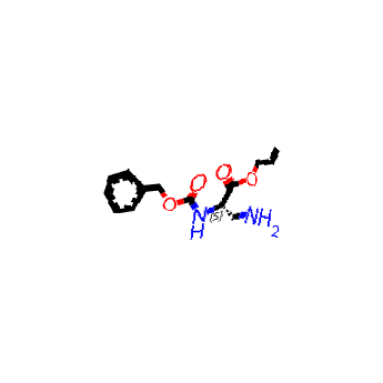 C=CCOC(=O)[C@H](CN)NC(=O)OCc1ccccc1